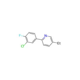 CCc1ccc(-c2ccc(F)c(Cl)c2)nc1